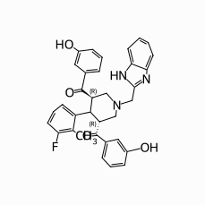 Cc1c(F)cccc1C1[C@@H](C(=O)c2cccc(O)c2)CN(Cc2nc3ccccc3[nH]2)C[C@@H]1C(=O)c1cccc(O)c1